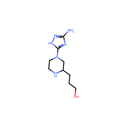 Nc1n[nH]c(N2CCNC(CCCO)C2)n1